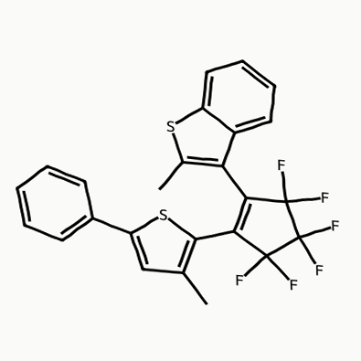 Cc1cc(-c2ccccc2)sc1C1=C(c2c(C)sc3ccccc23)C(F)(F)C(F)(F)C1(F)F